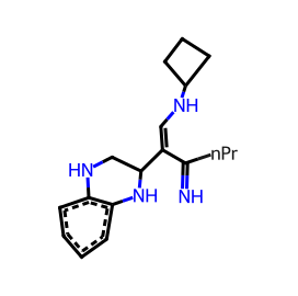 CCCC(=N)/C(=C\NC1CCC1)C1CNc2ccccc2N1